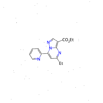 CCOC(=O)c1cnn2c(-c3ccccn3)cc(CC)nc12